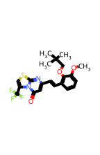 COc1cccc(C=Cc2cc(=O)n3c(C(F)(F)F)csc3n2)c1OCC(C)(C)C